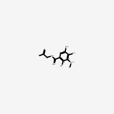 C=C(C)COC(=O)c1cc(F)c(F)c(OC)c1F